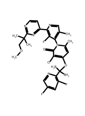 BC(B)(Oc1cc(C)n(-c2c(C)cnc(-c3ccnc(C(C)(C)COC)n3)c2F)c(=O)c1Cl)c1ncc(F)cc1F